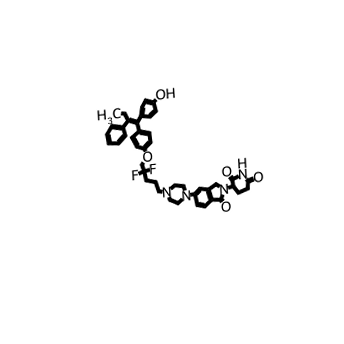 CC/C(=C(\c1ccc(O)cc1)c1ccc(OCC(F)(F)CCCN2CCN(c3ccc4c(c3)CN(C3CCC(=O)NC3=O)C4=O)CC2)cc1)c1ccccc1